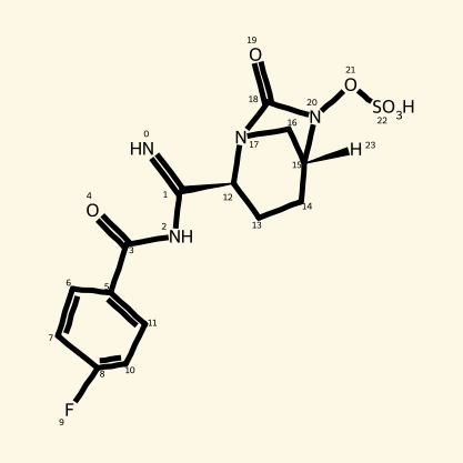 N=C(NC(=O)c1ccc(F)cc1)[C@@H]1CC[C@@H]2CN1C(=O)N2OS(=O)(=O)O